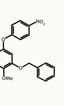 COc1ccc(Oc2ccc([N+](=O)[O-])cc2)cc1OCc1ccccc1